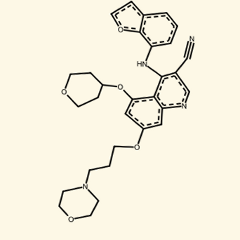 N#Cc1cnc2cc(OCCCN3CCOCC3)cc(OC3CCOCC3)c2c1Nc1cccc2ccoc12